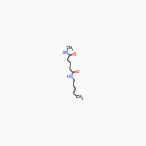 CCCCCNC(=O)CCCC(=O)NC